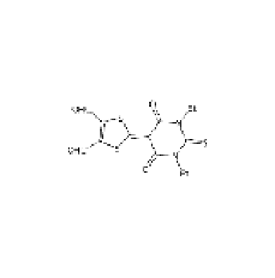 CCN1C(=O)C(=C2SC(C=O)=C(C=O)S2)C(=O)N(CC)C1=S